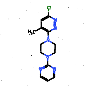 Cc1cc(Cl)nnc1N1CCN(c2ncccn2)CC1